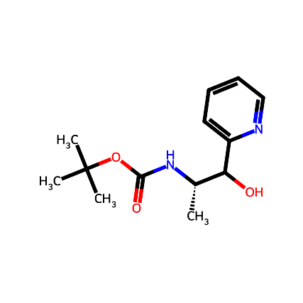 C[C@H](NC(=O)OC(C)(C)C)C(O)c1ccccn1